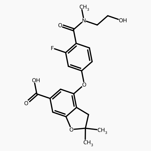 CN(CCO)C(=O)c1ccc(Oc2cc(C(=O)O)cc3c2CC(C)(C)O3)cc1F